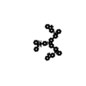 CC1(C)c2ccccc2-c2ccc(-n3c4ccccc4c4ccc(-c5ccc6c(c5)c5cc(-c7ccc8c9ccccc9n(-c9ccc%10c(c9)C(C)(C)c9ccccc9-%10)c8c7)ccc5n6-c5ccc(-c6nc(-c7ccccc7)c7ccccc7n6)cc5)cc43)cc21